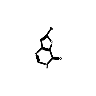 O=c1[nH]cnc2cc(Br)sc12